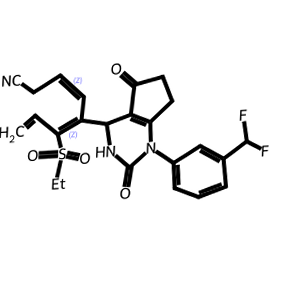 C=C/C(=C(\C=C/CC#N)C1NC(=O)N(c2cccc(C(F)F)c2)C2=C1C(=O)CC2)S(=O)(=O)CC